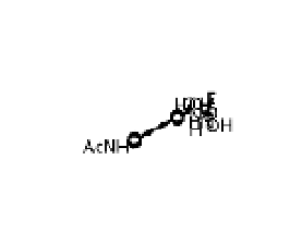 CC(=O)Nc1ccc(C#CC#Cc2ccc(C(=O)NC(C(=O)NO)C(C)(O)C(F)F)cc2)cc1